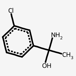 CC(N)(O)c1cccc(Cl)c1